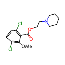 COc1c(Cl)ccc(Cl)c1C(=O)OCCN1CCCCC1